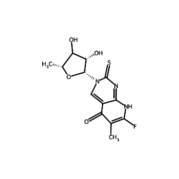 Cc1c(F)[nH]c2nc(=S)n([C@@H]3O[C@H](C)C(O)[C@@H]3O)cc2c1=O